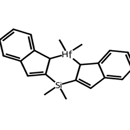 C[Si]1(C)C2=Cc3ccccc3[CH]2[Hf]([CH3])([CH3])[CH]2C1=Cc1ccccc12